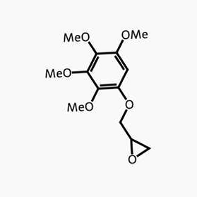 COc1cc(OCC2CO2)c(OC)c(OC)c1OC